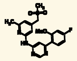 COc1cc(F)ccc1-c1cc(Nc2cc(CS(C)(=O)=O)cc(C)n2)ncn1